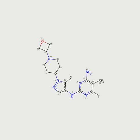 Cc1nc(Nc2cnn(C3CCN(C4COC4)CC3)c2C)nc(N)c1C(F)(F)F